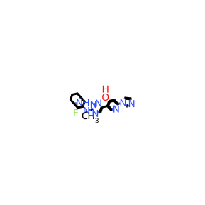 CN(c1ncc(-c2cnc(-n3ccnc3)cc2O)nn1)[C@@H]1CC2CCCC(N2)[C@H]1F